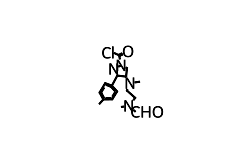 Cc1ccc(C2=NN(C(=O)Cl)CC2N(C)CCN(C)C=O)cc1